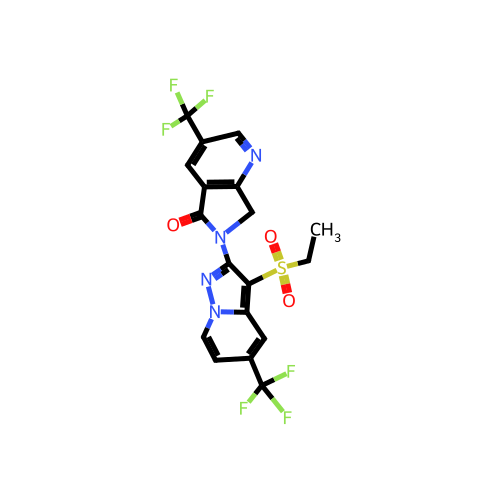 CCS(=O)(=O)c1c(N2Cc3ncc(C(F)(F)F)cc3C2=O)nn2ccc(C(F)(F)F)cc12